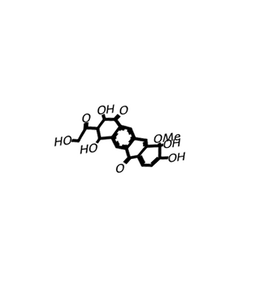 COC1(O)C(O)=CC=C2C(=O)c3cc4c(cc3C=C21)C(=O)C(O)C(C(=O)CO)C4O